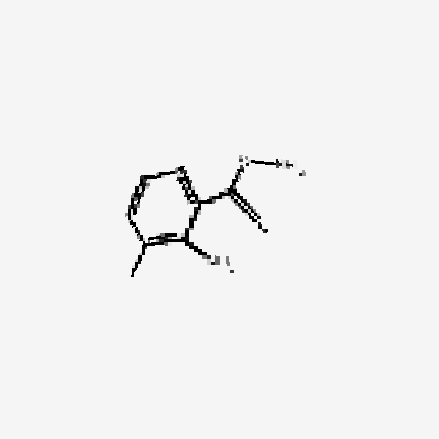 Cc1cccc(C(=O)ON)c1N